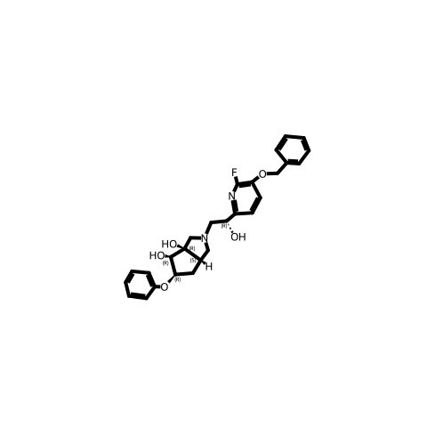 O[C@H](CN1C[C@@H]2C[C@@H](Oc3ccccc3)[C@@H](O)[C@]2(O)C1)c1ccc(OCc2ccccc2)c(F)n1